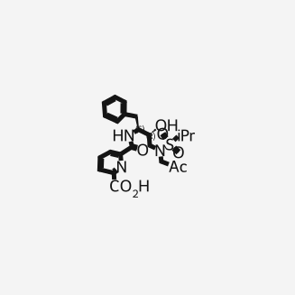 CC(=O)CN(C[C@@H](O)[C@H](Cc1ccccc1)NC(=O)c1cccc(C(=O)O)n1)S(=O)(=O)C(C)C